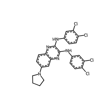 Clc1ccc(Nc2nc3ccc(N4CCCC4)cc3nc2Nc2ccc(Cl)c(Cl)c2)cc1Cl